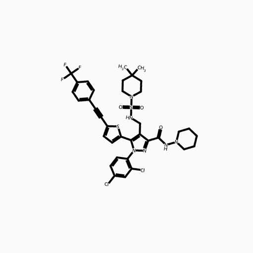 CC1(C)CCN(S(=O)(=O)NCc2c(C(=O)NN3CCCCC3)nn(-c3ccc(Cl)cc3Cl)c2-c2ccc(C#Cc3ccc(C(F)(F)F)cc3)s2)CC1